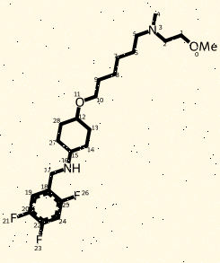 COCCN(C)CCCCCCOC1CCC(NCc2cc(F)c(F)cc2F)CC1